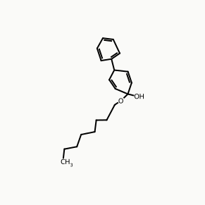 CCCCCCCCOC1(O)C=CC(c2ccccc2)C=C1